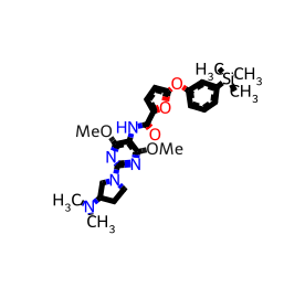 COc1nc(N2CCC(N(C)C)C2)nc(OC)c1NC(=O)c1ccc(Oc2cccc([Si](C)(C)C)c2)o1